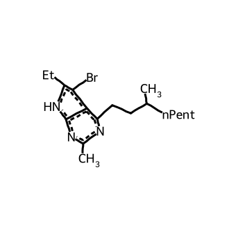 CCCCCC(C)CCc1nc(C)nc2[nH]c(CC)c(Br)c12